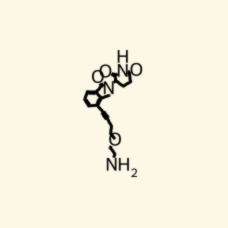 NCCOCCC#Cc1cccc2c1CN(C1CCC(=O)NC1=O)C2=O